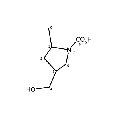 CC1CC(CO)CN1C(=O)O